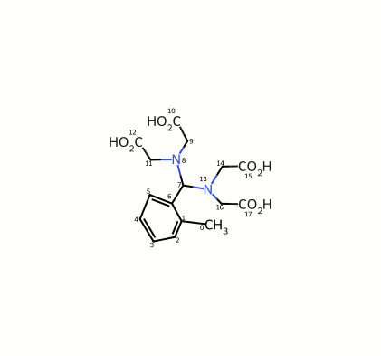 Cc1ccccc1C(N(CC(=O)O)CC(=O)O)N(CC(=O)O)CC(=O)O